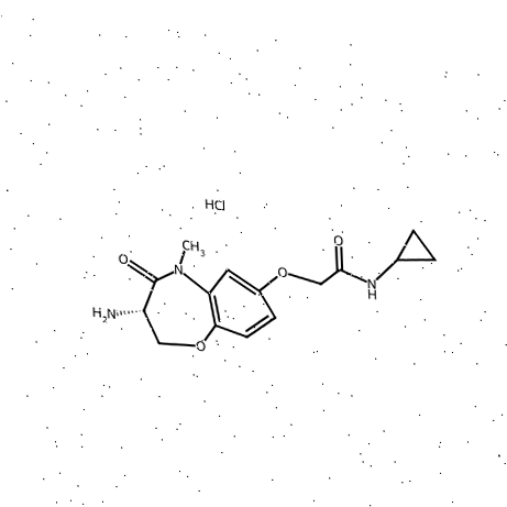 CN1C(=O)[C@@H](N)COc2ccc(OCC(=O)NC3CC3)cc21.Cl